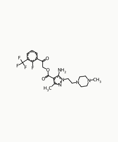 Cc1nn(CCN2CCN(C)CC2)c(N)c1C(=O)OCC(=O)c1cccc(C(F)(F)F)c1F